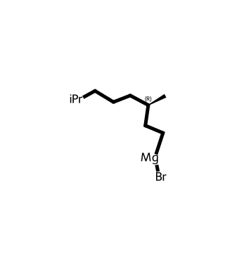 CC(C)CCC[C@@H](C)C[CH2][Mg][Br]